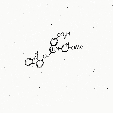 COc1ccc(NCC(=Cc2ccc(C(=O)O)cc2)COc2cccc3c2[nH]c2ccccc23)cn1